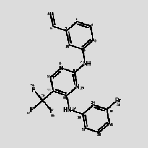 C=Cc1cccc(Nc2ncc(C(F)(F)F)c(Nc3cccc(Br)c3)n2)c1